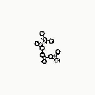 c1ccc(-c2cc(-c3ccccc3)nc(-n3c4ccccc4c4cc(-c5ccc6c7ccccc7n(-c7ccc8c(c7)c7ncncc7n8-c7ccccc7)c6c5)ccc43)n2)cc1